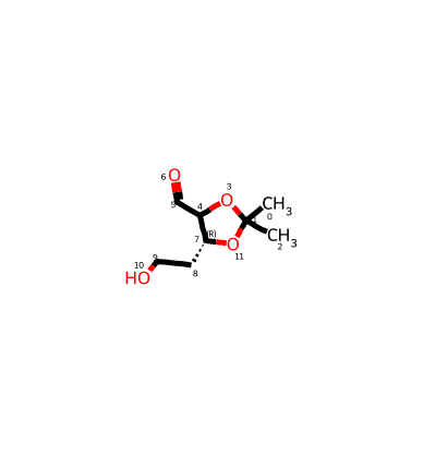 CC1(C)OC(C=O)[C@@H](CCO)O1